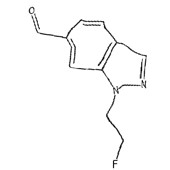 O=Cc1ccc2cnn(CCF)c2c1